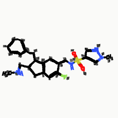 CNCC1Cc2cc(F)c(CNS(=O)(=O)c3cnn(C)c3)cc2C1Cc1ccccc1